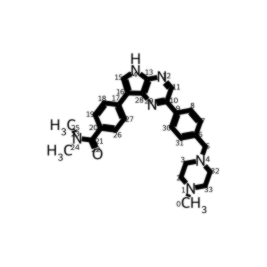 CN1CCN(Cc2ccc(-c3cnc4[nH]cc(-c5ccc(C(=O)N(C)C)cc5)c4n3)cc2)CC1